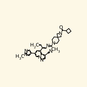 C=C/C(=C\N=C(/C)N1CCC2(CC1)CN(C(=O)C1CCC1)C2)c1cc(-c2cnn(C)c2)cn2ncc(C#N)c12